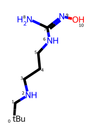 CC(C)(C)CNCCCN/C(N)=N\O